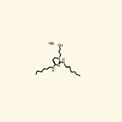 Br.CCCCCCNC1=CCN(CCCO)C(NCCCCCC)=N1